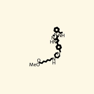 COC(=O)CCCCCCNC1CCN(Cc2ccc(-c3cc4c(NC(C)c5ccccc5)ncnc4[nH]3)cc2)CC1